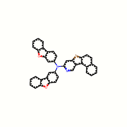 c1ccc2c(c1)ccc1sc3cc(N(c4ccc5c(c4)oc4ccccc45)c4ccc5oc6ccccc6c5c4)ncc3c12